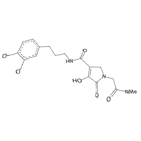 CNC(=O)CN1CC(C(=O)NCCCc2ccc(Cl)c(Cl)c2)=C(O)C1=O